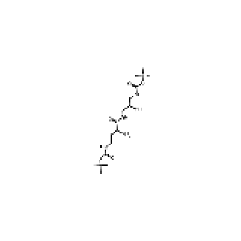 CC(C)(C)OC(=O)NCC[C@H](N)C(=O)NCC(O)CNC(=O)OC(C)(C)C